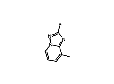 Cc1cccn2nc(Br)nc12